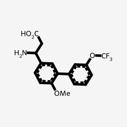 COc1ccc(C(N)CC(=O)O)cc1-c1cccc(OC(F)(F)F)c1